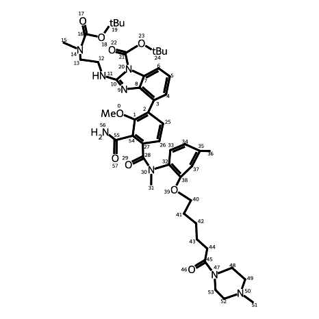 COc1c(-c2cccc3c2nc(NCCN(C)C(=O)OC(C)(C)C)n3C(=O)OC(C)(C)C)ccc(C(=O)N(C)c2ccc(C)cc2OCCCCCC(=O)N2CCN(C)CC2)c1C(N)=O